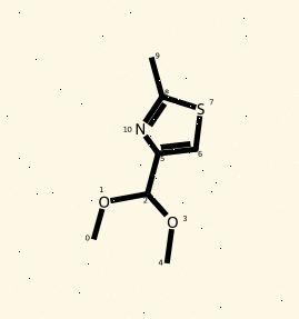 COC(OC)c1csc(C)n1